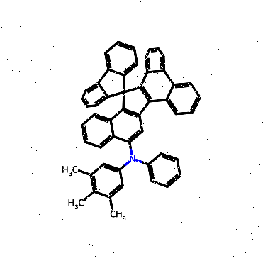 Cc1cc(N(c2ccccc2)c2cc3c(c4ccccc24)C2(c4ccccc4-c4ccccc42)c2c-3c3ccccc3c3ccccc23)cc(C)c1C